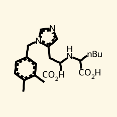 CCCCC(NC(Cc1cncn1Cc1ccc(C)c(C)c1)C(=O)O)C(=O)O